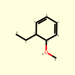 CC[C]1C=CC=CC1OC